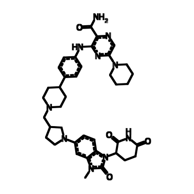 Cn1c(=O)n(C2CCC(=O)NC2=O)c2ccc(N3CCC(CN4CCC(c5ccc(Nc6nc(N7CCCCC7)cnc6C(N)=O)cc5)CC4)C3)cc21